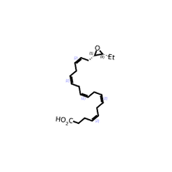 CC[C@H]1O[C@H]1C/C=C\C/C=C\C/C=C\C/C=C\C/C=C\CCC(=O)O